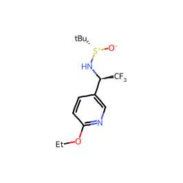 CCOc1ccc([C@@H](N[S@@+]([O-])C(C)(C)C)C(F)(F)F)cn1